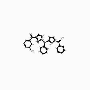 CC1C=CC=C(C(=O)c2ccc(C(c3ccccc3)c3ccc(C(=O)c4ccccc4)[nH]3)[nH]2)C1